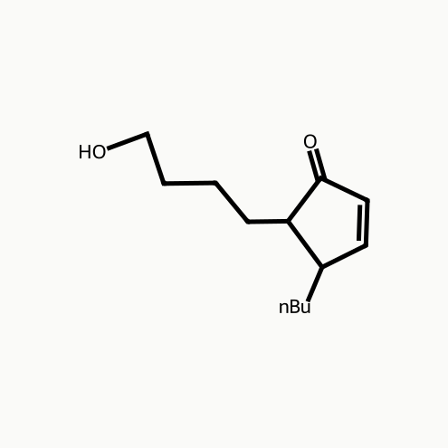 CCCCC1C=CC(=O)C1CCCCO